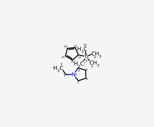 [CH2]CN1CCCC1.[CH3][Ti]([CH3])([CH3])([CH3])[CH]1C=CC=C1